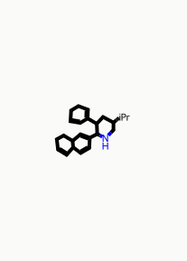 CC(C)C1CNC(C2=CC3CCC=CC3C=C2)C(C2=CCCC=C2)C1